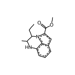 CCC1C(C)Nc2cccc3cc(C(=O)OC)n1c23